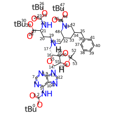 CC(C)(C)OC(=O)Nc1ncnc2c1ncn2[C@@H]1O[C@H](CN(CCC(NC(=O)OC(C)(C)C)C(=O)OC(C)(C)C)CC2CC(Cc3ccccc3)CN(C(=O)OC(C)(C)C)C2)[C@H]2OC(C)(C)O[C@H]21